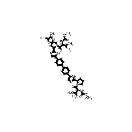 COC(=O)N[C@H](C(=O)N1CCCC1c1ncc(-c2ccc(-c3ccc(-c4cnc(C5CC6(CN5C(=O)[C@@H](NC(=O)OC)C(C)C)O[C@@H](C)[C@H](C)O6)[nH]4)cc3)cc2)[nH]1)C(C)C